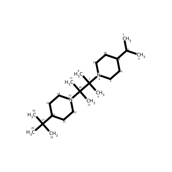 CC(C)C1CCN(C(C)(C)C(C)(C)N2CCC(C(C)(C)C)CC2)CC1